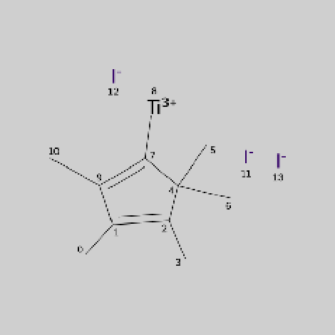 CC1=C(C)C(C)(C)[C]([Ti+3])=C1C.[I-].[I-].[I-]